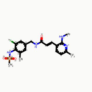 CC(C)Nc1nc(C(F)(F)F)ccc1C=CC(=O)NCc1cc(F)c(NS(C)(=O)=O)c(C#N)c1